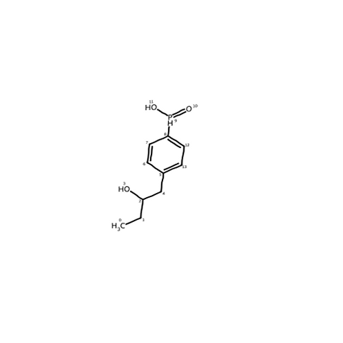 CCC(O)Cc1ccc([PH](=O)O)cc1